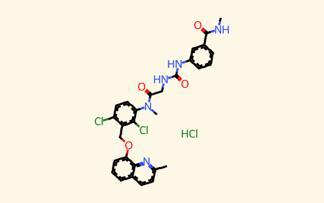 CNC(=O)c1cccc(NC(=O)NCC(=O)N(C)c2ccc(Cl)c(COc3cccc4ccc(C)nc34)c2Cl)c1.Cl